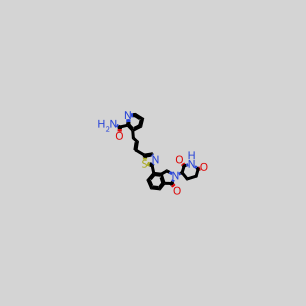 NC(=O)c1ncccc1CC=Cc1cnc(-c2cccc3c2CN(C2CCC(=O)NC2=O)C3=O)s1